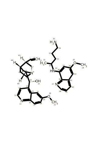 C=C[C@H]1C[N@]2CC[C@H]1C[C@H]2[C@H](O)c1ccnc2ccc(OC)cc12.COc1cc(NC(C)CCCN)c2ncccc2c1